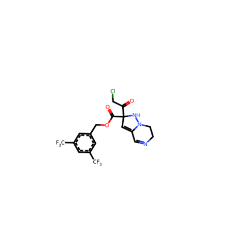 O=C(CCl)C1(C(=O)OCc2cc(C(F)(F)F)cc(C(F)(F)F)c2)C=C2C=NCCN2N1